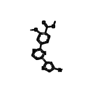 COC(=O)c1ccc(-c2nccc(-c3cc(Br)cs3)n2)cc1OC